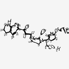 COc1ccc(C(CC(=O)O)N2CCN(CCC(=O)c3ccc4c(n3)NCCC4)C2=O)cn1